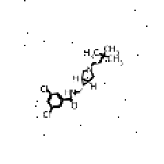 CC(C)(C)CCN1C[C@@H]2[C@@H](CNC(=O)c3cc(Cl)cc(Cl)c3)[C@@H]2C1